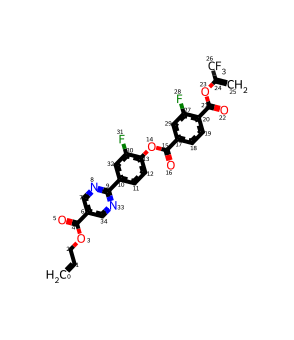 C=CCOC(=O)c1cnc(-c2ccc(OC(=O)c3ccc(C(=O)OC(=C)C(F)(F)F)c(F)c3)c(F)c2)nc1